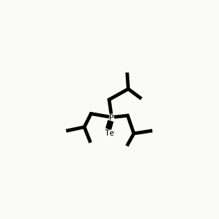 CC(C)CP(=[Te])(CC(C)C)CC(C)C